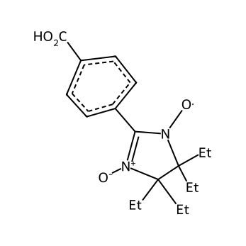 CCC1(CC)N([O])C(c2ccc(C(=O)O)cc2)=[N+]([O-])C1(CC)CC